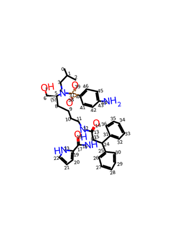 CC(C)CN([C@H](CO)CCCCNC(=O)[C@@H](NC(=O)c1ccc[nH]1)C(c1ccccc1)c1ccccc1)S(=O)(=O)c1ccc(N)cc1